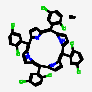 Clc1ccc(Cl)c(-c2c3nc(c(-c4cc(Cl)ccc4Cl)c4ccc([nH]4)c(-c4cc(Cl)ccc4Cl)c4nc(c(-c5cc(Cl)ccc5Cl)c5ccc2[nH]5)C=C4)C=C3)c1.[Mn]